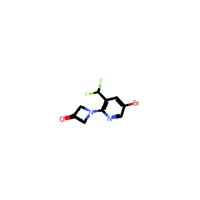 O=C1CN(c2ncc(Br)cc2C(F)F)C1